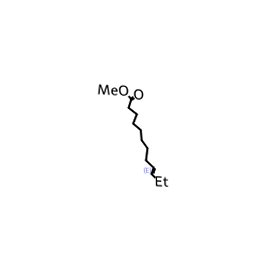 CC/C=C/CCCCCCCC(=O)OC